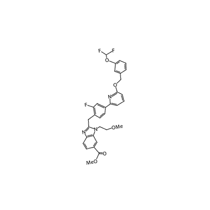 COCCn1c(Cc2ccc(-c3cccc(OCc4cccc(OC(F)F)c4)n3)cc2F)nc2ccc(C(=O)OC)cc21